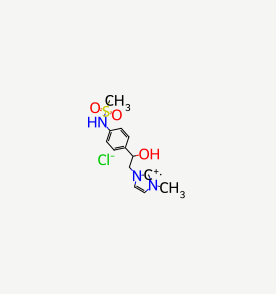 CN1[C+]N(CC(O)c2ccc(NS(C)(=O)=O)cc2)C=C1.[Cl-]